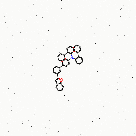 c1ccc(-c2ccccc2N(c2ccc(-c3cccc(-c4cc5ccccc5o4)c3)cc2)c2ccccc2-c2ccccc2)cc1